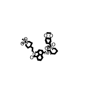 CS(=O)(=O)N1CCC(CCN2C(=O)c3cccc4c(NC(=O)C5CCCCN5S(=O)(=O)c5ccc6c(c5)OCCO6)ccc2c34)CC1